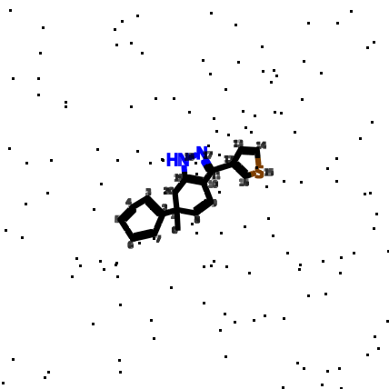 CC1(c2ccccc2)C=Cc2c(-c3ccsc3)n[nH]c2C1